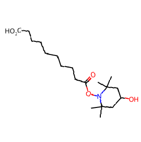 CC1(C)CC(O)CC(C)(C)N1OC(=O)CCCCCCCCC(=O)O